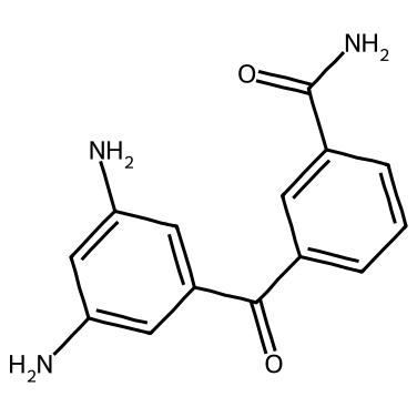 NC(=O)c1cccc(C(=O)c2cc(N)cc(N)c2)c1